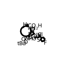 CC(C)(C)OC(=O)N[C@H]1CCCCC/C=C\[C@@H]2C[C@@]2(C(=O)O)NC(=O)[C@@H]2C[C@@H](NC(=O)C3Sc4cc(F)ccc4C3Cl)CN2C1=O